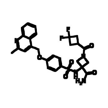 Cc1cc(COc2ccc(S(=O)(=O)NC3(C(N)=O)CN(C(=O)C4CC(F)(F)C4)C3)cc2)c2ccccc2n1